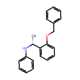 N#C[C@@H](Nc1ccccc1)c1ccccc1OCc1ccccc1